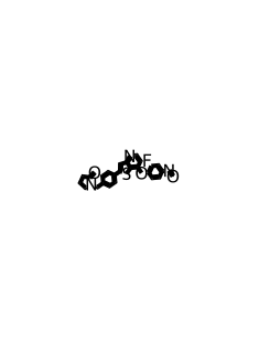 O=Nc1ccc(Oc2ccnc3cc(-c4ccc(CN5CCCC5=O)cc4)sc23)c(F)c1